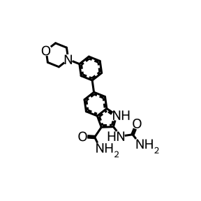 NC(=O)Nc1[nH]c2cc(-c3cccc(N4CCOCC4)c3)ccc2c1C(N)=O